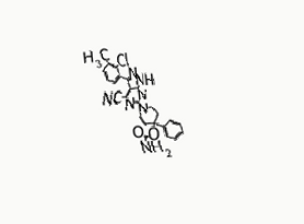 Cc1cccc(-c2n[nH]c3nc(N4CCC(OC(N)=O)(c5ccccc5)CC4)nc(C#N)c23)c1Cl